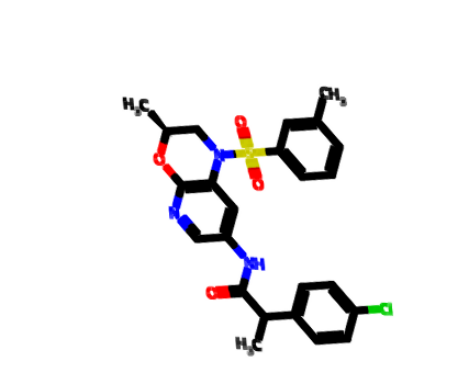 Cc1cccc(S(=O)(=O)N2C[C@H](C)Oc3ncc(NC(=O)C(C)c4ccc(Cl)cc4)cc32)c1